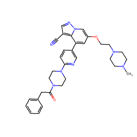 CN1CCN(CCOc2cc(-c3ccc(N4CCN(C(=O)Cc5ccccc5)CC4)nc3)c3c(C#N)cnn3c2)CC1